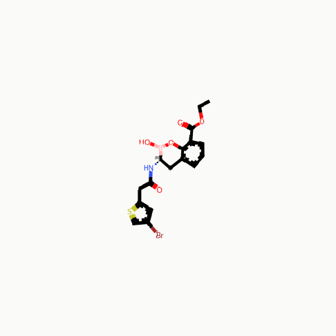 CCOC(=O)c1cccc2c1OB(O)[C@@H](NC(=O)Cc1cc(Br)cs1)C2